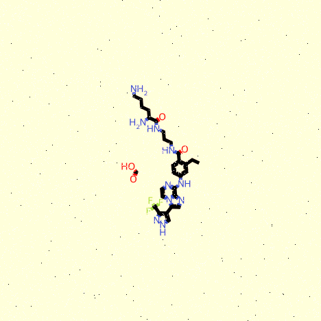 CCc1cc(Nc2nccn3c(-c4c[nH]nc4C(F)(F)F)cnc23)ccc1C(=O)NCCCNC(=O)C(N)CCCCN.O=CO